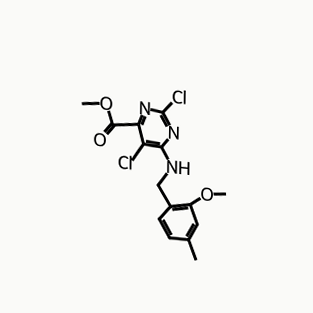 COC(=O)c1nc(Cl)nc(NCc2ccc(C)cc2OC)c1Cl